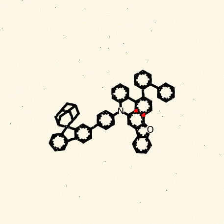 c1ccc(-c2ccccc2-c2ccccc2-c2ccccc2N(c2ccc(-c3ccc4c(c3)C3(c5ccccc5-4)C4CC5CC(C4)CC3C5)cc2)c2ccc3oc4ccccc4c3c2)cc1